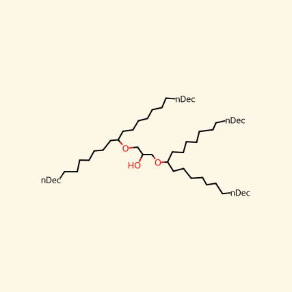 CCCCCCCCCCCCCCCCCC(CCCCCCCCCCCCCCCCC)OCC(O)COC(CCCCCCCCCCCCCCCCC)CCCCCCCCCCCCCCCCC